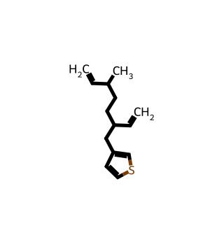 C=CC(C)CCC(C=C)Cc1ccsc1